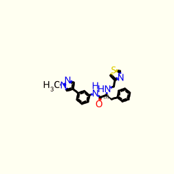 Cn1cc(-c2cccc(NC(=O)[C@H](Cc3ccccc3)NCc3cscn3)c2)cn1